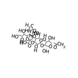 CC(=O)C[C@@H]1O[C@H](CO)[C@@H](O[C@@H]2O[C@H](CO)[C@H](O)[C@H](O[C@]3(C(=O)O)C[C@H](O)[C@@H](NC(C)=O)[C@H]([C@H](O)[C@H](O)CO)O3)[C@H]2O)[C@H](O)[C@H]1O